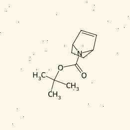 CC(C)(C)OC(=O)N1C2C=CC1CC2